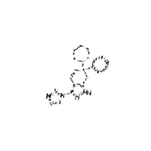 C1=CC(c2ccccc2)(C2CCCCC2)Cc2[nH]nc(-n3cnnn3)c21